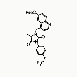 COc1ccc2nccc(CN3C(=O)N(c4ccc(SC(F)(F)F)cc4)C(=O)C3C)c2c1